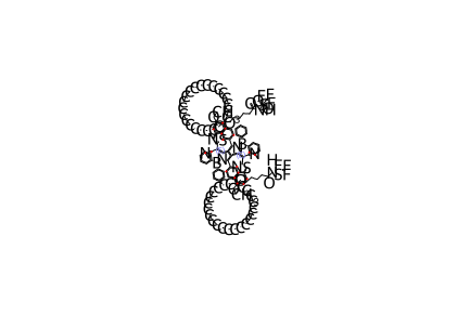 COc1ccc2sc(/C(C#N)=c3\c4c(-c5ccc(C6(OCCCCC(=O)NS(=O)(=O)C(F)(F)F)CCCCCCCCCCCCCCCCCCCCCC6)cc5)n(B(c5ccccc5)c5ccccc5)/c(=C(\C#N)c5nc6cc(OC)ccc6s5)c4c(-c4ccc(C5(OCCCCC(=O)NSC(F)(F)F)CCCCCCCCCCCCCCCCCCCCCC5)cc4)n3B(c3ccccc3)c3ccccc3)nc2c1